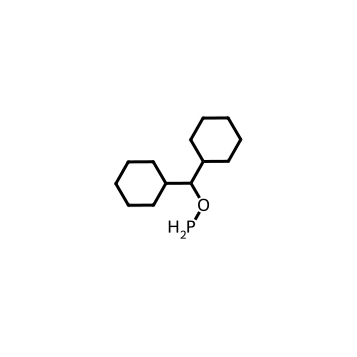 POC(C1CCCCC1)C1CCCCC1